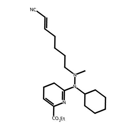 CCOC(=O)C1=CCCC(N(C2CCCCC2)N(C)CCCC/C=C/C#N)=N1